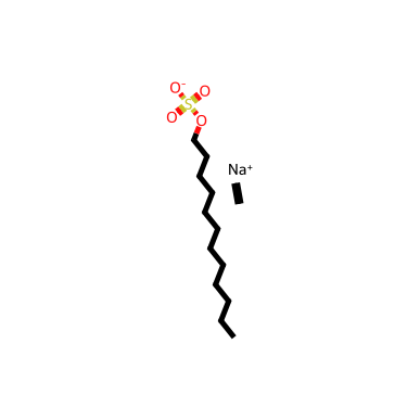 C=C.CCCCCCCCCCCCOS(=O)(=O)[O-].[Na+]